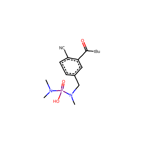 CN(C)P(=O)(O)N(C)Cc1ccc(C#N)c(C(=O)C(C)(C)C)c1